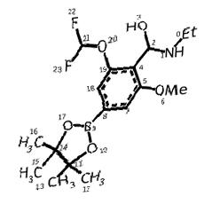 CCNC(O)c1c(OC)cc(B2OC(C)(C)C(C)(C)O2)cc1OC(F)F